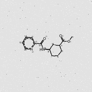 COC(=O)C1CCCC(NC(=O)c2ccccn2)C1